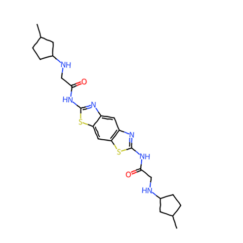 CC1CCC(NCC(=O)Nc2nc3cc4nc(NC(=O)CNC5CCC(C)C5)sc4cc3s2)C1